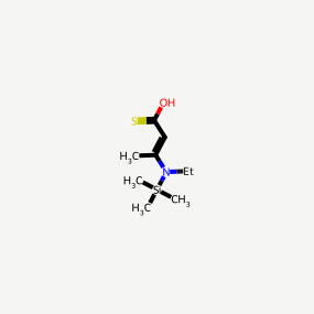 CCN(C(C)=CC(O)=S)[Si](C)(C)C